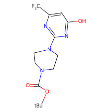 CC(C)(C)OC(=O)N1CCN(c2nc(O)cc(C(F)(F)F)n2)CC1